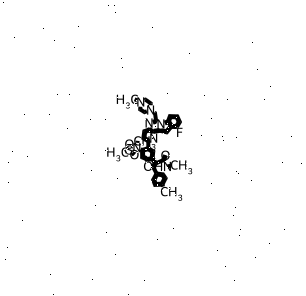 CNC(=O)c1c(-c2ccc(C)cc2)oc2cc(N(C)S(C)(=O)=O)c(-c3ccc4nc(CN5CCN(C)CC5)n5c6cccc(F)c6cc5c4n3)cc12